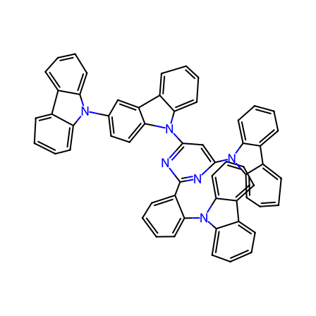 c1ccc(-n2c3ccccc3c3ccccc32)c(-c2nc(-n3c4ccccc4c4ccccc43)cc(-n3c4ccccc4c4cc(-n5c6ccccc6c6ccccc65)ccc43)n2)c1